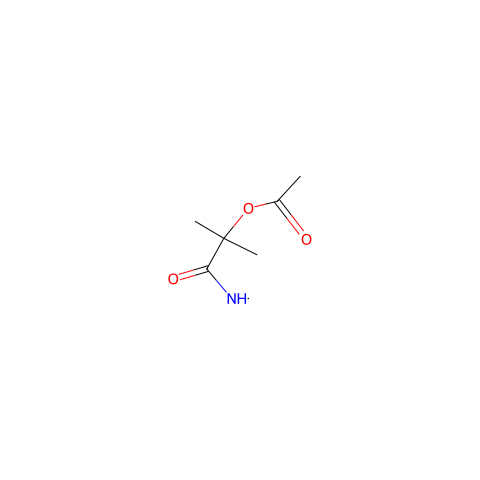 CC(=O)OC(C)(C)C([NH])=O